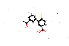 CC(=O)c1cccc(-c2cc(C(=O)O)ccc2F)c1